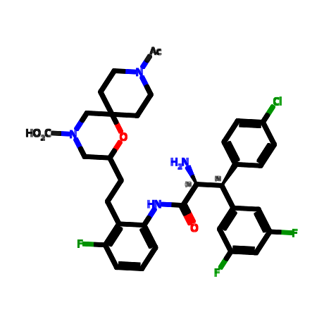 CC(=O)N1CCC2(CC1)CN(C(=O)O)CC(CCc1c(F)cccc1NC(=O)[C@@H](N)[C@@H](c1ccc(Cl)cc1)c1cc(F)cc(F)c1)O2